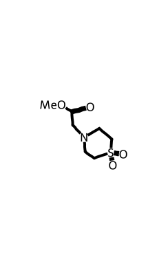 COC(=O)CN1CCS(=O)(=O)CC1